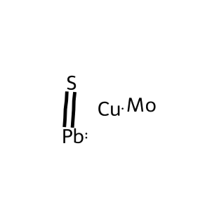 [Cu].[Mo].[S]=[Pb]